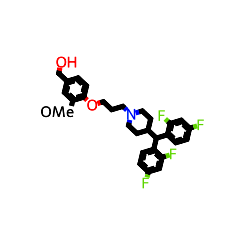 COc1cc(CO)ccc1OCCCN1CCC(C(c2ccc(F)cc2F)c2ccc(F)cc2F)CC1